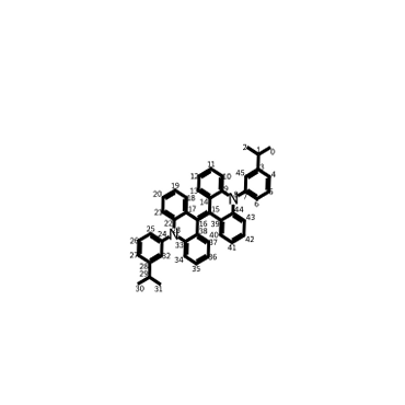 CC(C)c1cccc(N2c3ccccc3C(=C3c4ccccc4N(c4cccc(C(C)C)c4)c4ccccc43)c3ccccc32)c1